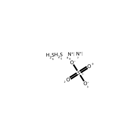 O=S(=O)([O-])[O-].S.S.[N+].[N+]